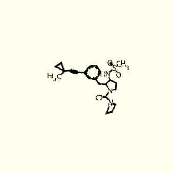 CC1(C#Cc2cccc(CC3C(NS(C)(=O)=O)CCN3C(=O)N3CCC3)c2)CC1